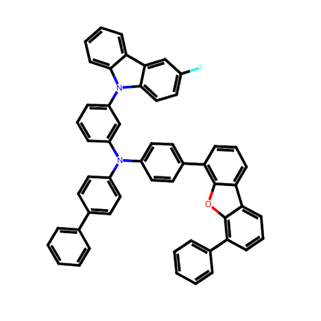 Fc1ccc2c(c1)c1ccccc1n2-c1cccc(N(c2ccc(-c3ccccc3)cc2)c2ccc(-c3cccc4c3oc3c(-c5ccccc5)cccc34)cc2)c1